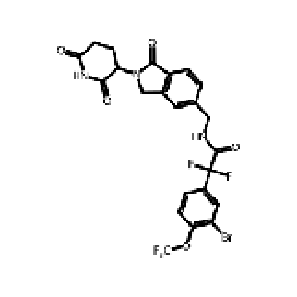 O=C1CCC(N2Cc3cc(CNC(=O)C(F)(F)c4ccc(OC(F)(F)F)c(Br)c4)ccc3C2=O)C(=O)N1